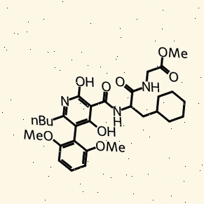 CCCCc1nc(O)c(C(=O)NC(CC2CCCCC2)C(=O)NCC(=O)OC)c(O)c1-c1c(OC)cccc1OC